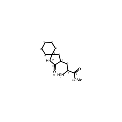 COC(=O)C(N)CC1CC2(CCCCC2)NC1=O